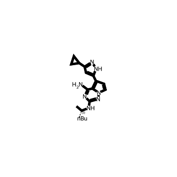 CCCC[C@H](C)Nc1nc(N)c2c(-c3cc(C4CC4)n[nH]3)ccn2n1